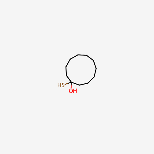 OC1(S)CCCCCCCCCC1